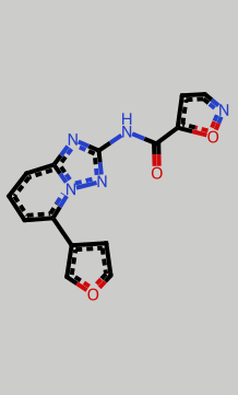 O=C(Nc1nc2cccc(-c3ccoc3)n2n1)c1ccno1